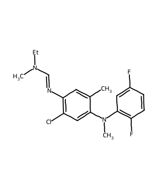 CCN(C)C=Nc1cc(C)c(N(C)c2cc(F)ccc2F)cc1Cl